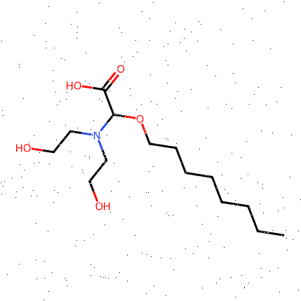 CCCCCCCCOC(C(=O)O)N(CCO)CCO